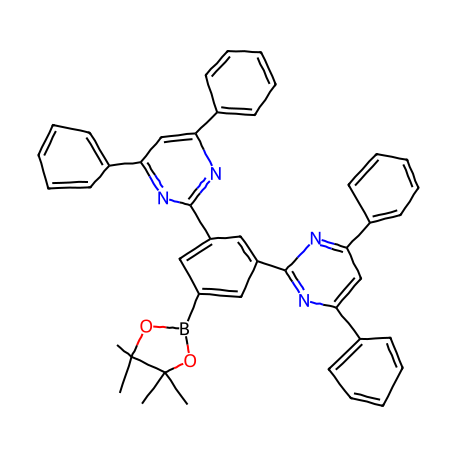 CC1(C)OB(c2cc(-c3nc(-c4ccccc4)cc(-c4ccccc4)n3)cc(-c3nc(-c4ccccc4)cc(-c4ccccc4)n3)c2)OC1(C)C